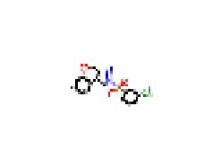 O=S(=O)(NCC1CCOc2c[c]ccc21)c1cccc(Cl)c1